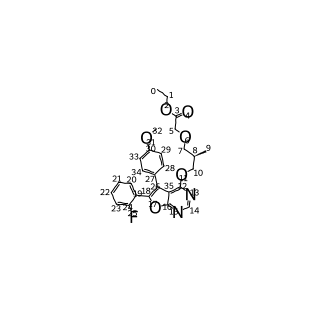 CCOC(=O)COC[C@@H](C)COc1ncnc2oc(-c3ccccc3F)c(-c3ccc(OC)cc3)c12